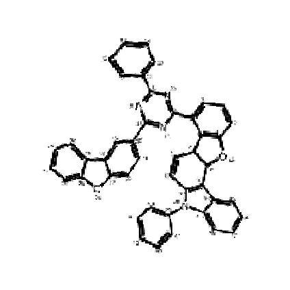 C1=CC2c3c(cccc3-c3nc(-c4ccccc4)nc(-c4ccc5oc6ccccc6c5c4)n3)OC2c2c1n(-c1ccccc1)c1ccccc21